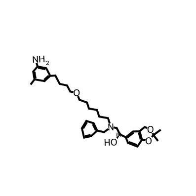 Cc1cc(N)cc(CCCCOCCCCCCN(Cc2ccccc2)C[C@H](O)c2ccc3c(c2)COC(C)(C)O3)c1